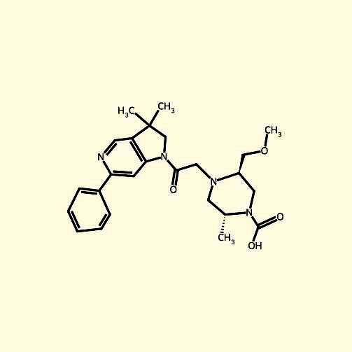 COC[C@H]1CN(C(=O)O)[C@H](C)CN1CC(=O)N1CC(C)(C)c2cnc(-c3ccccc3)cc21